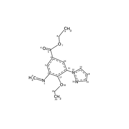 C=Nc1cc(C(=O)OCC)cc(-n2cccn2)c1OCC